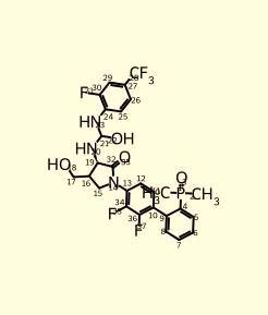 CP(C)(=O)c1ccccc1-c1ccc(N2CC(CO)[C@@H](NC(O)Nc3ccc(C(F)(F)F)cc3F)C2=O)c(F)c1F